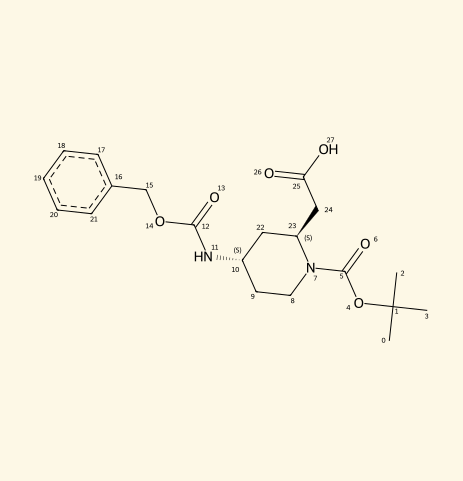 CC(C)(C)OC(=O)N1CC[C@H](NC(=O)OCc2ccccc2)C[C@H]1CC(=O)O